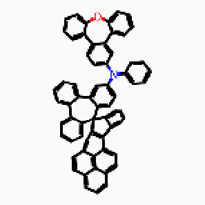 c1ccc(N(c2ccc3c(c2)-c2ccccc2Oc2ccccc2-3)c2ccc3c(c2)-c2ccccc2-c2ccccc2C32c3ccccc3-c3c2cc2ccc4cccc5ccc3c2c45)cc1